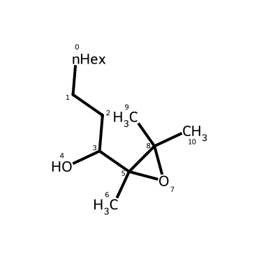 CCCCCCCCC(O)C1(C)OC1(C)C